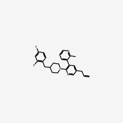 C=CCc1cnc(N2CCC(Cc3ccc(F)cc3F)CC2)c(-c2cccnc2C)c1